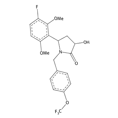 COc1ccc(F)c(OC)c1C1CC(O)C(=O)N1Cc1ccc(OC(F)(F)F)cc1